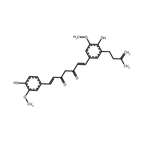 C=C(C)CCc1cc(C=CC(=O)CC(=O)C=Cc2ccc(O)c(OC)c2)cc(OC)c1O